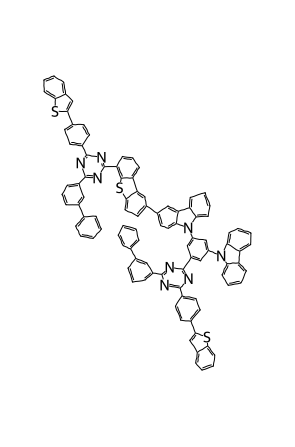 c1ccc(-c2cccc(-c3nc(-c4ccc(-c5cc6ccccc6s5)cc4)nc(-c4cc(-n5c6ccccc6c6ccccc65)cc(-n5c6ccccc6c6cc(-c7ccc8sc9c(-c%10nc(-c%11ccc(-c%12cc%13ccccc%13s%12)cc%11)nc(-c%11cccc(-c%12ccccc%12)c%11)n%10)cccc9c8c7)ccc65)c4)n3)c2)cc1